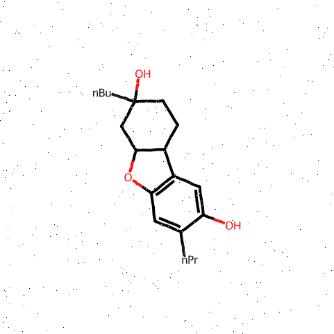 CCCCC1(O)CCC2c3cc(O)c(CCC)cc3OC2C1